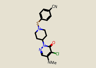 CNc1cnn(C2CCN(Sc3ccc(C#N)cc3)CC2)c(=O)c1Cl